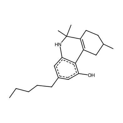 CCCCCc1cc(O)c2c(c1)NC(C)(C)C1=C2CC(C)CC1